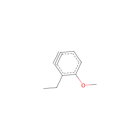 CCc1c#cccc1OC